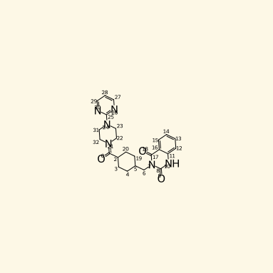 O=C(C1CCC(Cn2c(=O)[nH]c3ccccc3c2=O)CC1)N1CCN(c2ncccn2)CC1